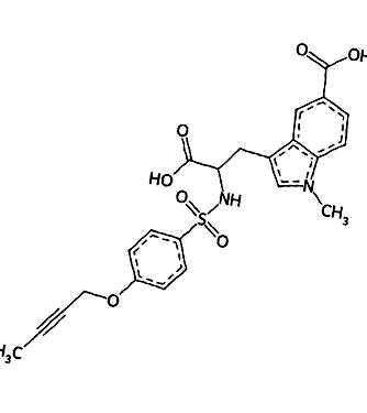 CC#CCOc1ccc(S(=O)(=O)NC(Cc2cn(C)c3ccc(C(=O)O)cc23)C(=O)O)cc1